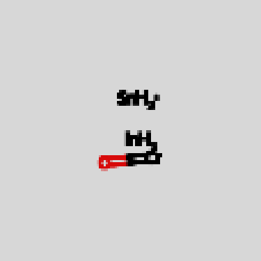 [InH3].[O]=[Cr].[SnH2]